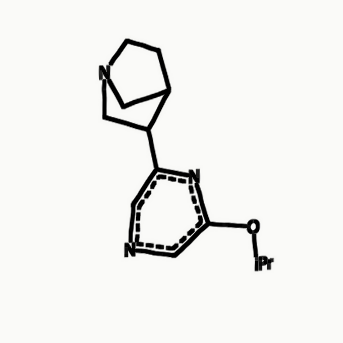 CC(C)Oc1cncc(C2CN3CCC2C3)n1